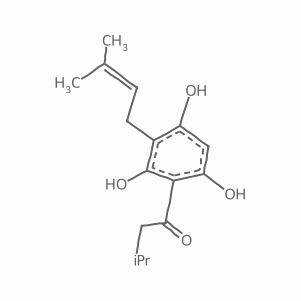 CC(C)=CCc1c(O)cc(O)c(C(=O)CC(C)C)c1O